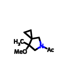 COC1(C)CN(C(C)=O)CC12CC2